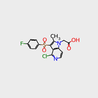 Cc1c(S(=O)(=O)c2ccc(F)cc2)c2c(Cl)nccc2n1CC(=O)O